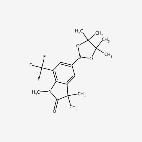 CN1C(=O)C(C)(C)c2cc(B3OC(C)(C)C(C)(C)O3)cc(C(F)(F)F)c21